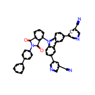 N#Cc1cncc(-c2ccc3c(c2)c2cc(-c4cncc(C#N)c4)ccc2n3-c2cccc3c2C(=O)N(c2ccc(-c4ccccc4)cc2)C3=O)c1